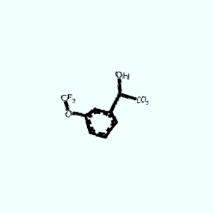 OC(c1cccc(OC(F)(F)F)c1)C(Cl)(Cl)Cl